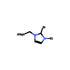 CCCCCCCCN1C=CN(CC)C1C(C)C